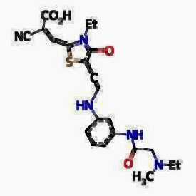 CCN(C)CC(=O)Nc1cccc(NC=C=c2sc(=C=C(C#N)C(=O)O)n(CC)c2=O)c1